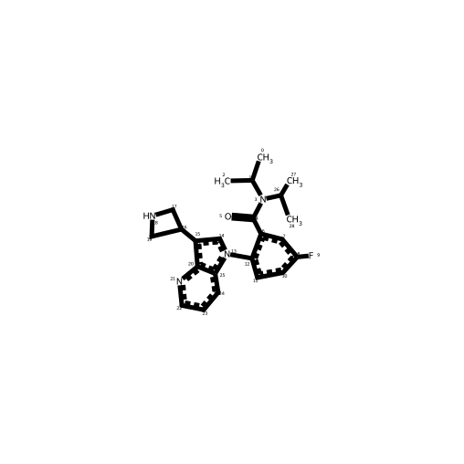 CC(C)N(C(=O)c1cc(F)ccc1-n1cc(C2CNC2)c2ncccc21)C(C)C